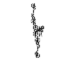 C=CC(=O)OCCCCCCOc1ccc(OC(=O)C2CCC(C(=O)Oc3ccc(OC(=O)C4CCC(C(=O)Oc5ccc(OCCCCCCOC(=O)C=C)cc5)CC4)c(/C=N/NC4Sc5ccccc5N4C)c3)CC2)cc1